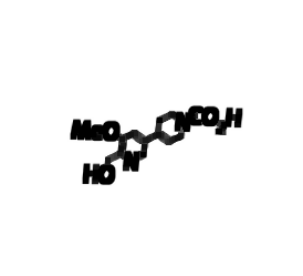 COc1cc(C2=CCN(C(=O)O)CC2)cnc1CO